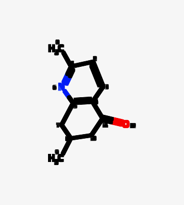 Cc1ccc2c(n1)CC(C)CC2=O